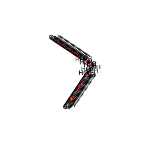 O=C(O)O.O=C(O)O.O=C(O)O.O=C(O)O.O=C(O)O.[Ca+2].[Ca+2].[Ca+2].[Ca+2].[Ca+2].[Ca+2].[Ca+2].[Ca+2].[Ca+2].[Ca+2].[Ca+2].[Ca+2].[Ca+2].[Ca+2].[Ca+2].[Ca+2].[Ca+2].[Ca+2].[Ca+2].[Ca+2].[Ca+2].[Ca+2].[Ca+2].[Ca+2].[Ca+2].[Ca+2].[Ca+2].[Ca+2].[Ca+2].[Ca+2].[Ca+2].[Ca+2].[Ca+2].[Ca+2].[Ca+2].[Ca+2].[Ca+2].[Ca+2].[Ca+2].[Ca+2].[Ca+2].[Ca+2].[Ca+2].[Ca+2].[Ca+2].[Ca+2].[Ca+2].[Ca+2].[Ca+2].[Ca+2].[Ca+2].[Ca+2].[Ca+2].[Ca+2].[Ca+2]